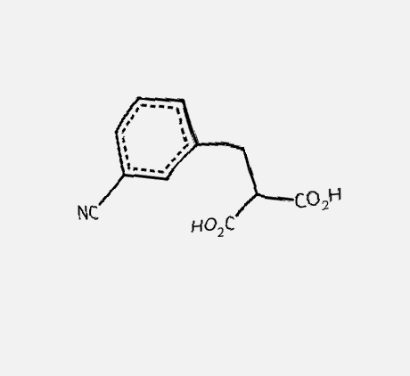 N#Cc1cccc(CC(C(=O)O)C(=O)O)c1